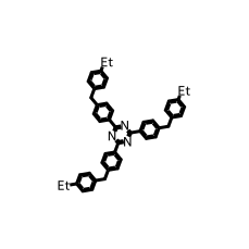 CCc1ccc(Cc2ccc(-c3nc(-c4ccc(Cc5ccc(CC)cc5)cc4)nc(-c4ccc(Cc5ccc(CC)cc5)cc4)n3)cc2)cc1